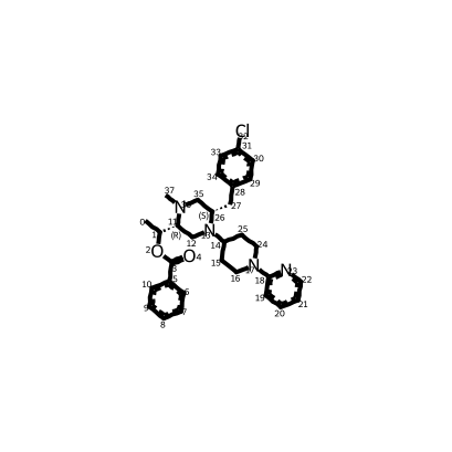 CC(OC(=O)c1ccccc1)[C@H]1CN(C2CCN(c3ccccn3)CC2)[C@@H](Cc2ccc(Cl)cc2)CN1C